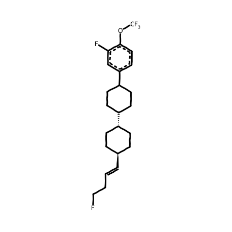 FCC/C=C/[C@H]1CC[C@H](C2CCC(c3ccc(OC(F)(F)F)c(F)c3)CC2)CC1